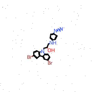 [N-]=[N+]=Nc1ccc(NCC(O)Cn2c3ccc(Br)cc3c3cc(Br)ccc32)cc1